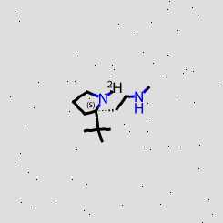 [2H]N1CCC[C@]1(CCNC)C(C)(C)C